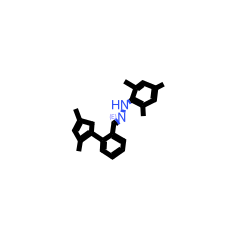 CC1=CC(C)=C(c2ccccc2/C=N/Nc2c(C)cc(C)cc2C)C1